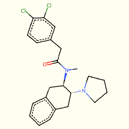 CN(C(=O)Cc1ccc(Cl)c(Cl)c1)[C@@H]1Cc2ccccc2C[C@H]1N1CCCC1